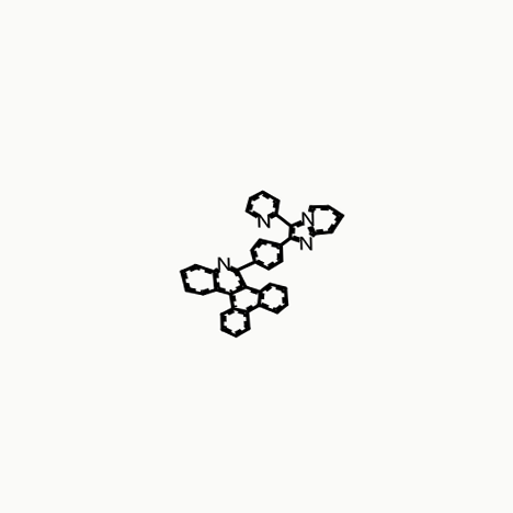 c1ccc(-c2c(-c3ccc(-c4nc5ccccc5c5c6ccccc6c6ccccc6c45)cc3)nc3ccccn23)nc1